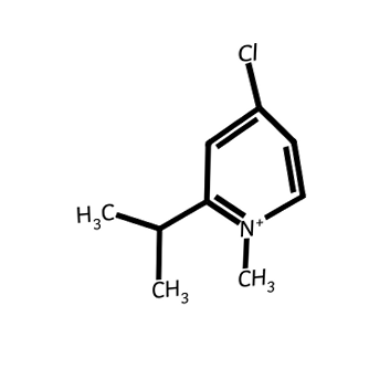 CC(C)c1cc(Cl)cc[n+]1C